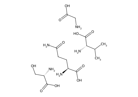 CC(C)[C@H](N)C(=O)O.NC(=O)CC[C@H](N)C(=O)O.NCC(=O)O.N[C@@H](CO)C(=O)O